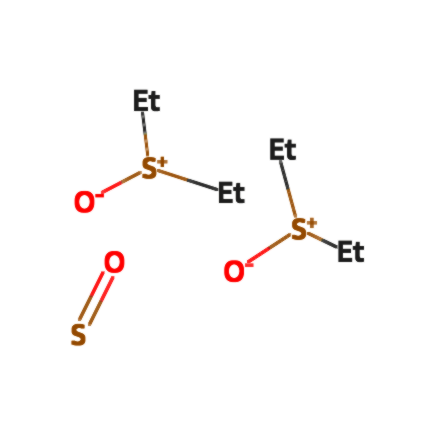 CC[S+]([O-])CC.CC[S+]([O-])CC.O=S